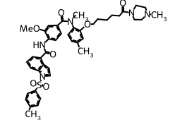 COc1cc(C(=O)N(C)c2ccc(C)cc2OCCCCCC(=O)N2CCN(C)CC2)ccc1NC(=O)c1cccc2c1ccn2S(=O)(=O)c1ccc(C)cc1